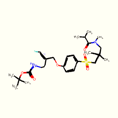 CC(C)C(=O)N(C)CC(C)(C)CS(=O)(=O)c1ccc(OC/C(=C/F)CNC(=O)OC(C)(C)C)cc1